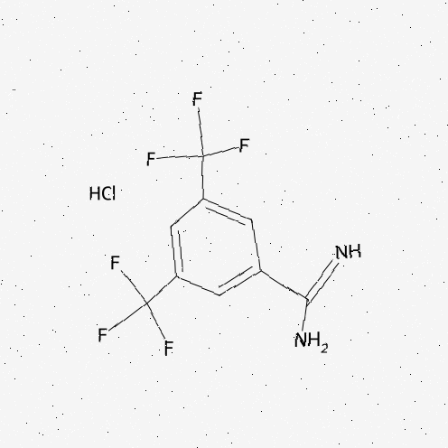 Cl.N=C(N)c1cc(C(F)(F)F)cc(C(F)(F)F)c1